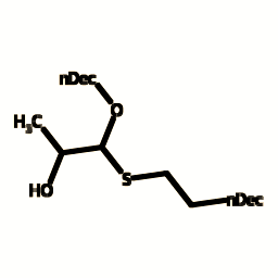 CCCCCCCCCCCCSC(OCCCCCCCCCC)C(C)O